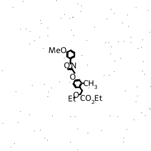 CCOC(=O)C(Cc1ccc(OCc2coc(-c3cccc(OC)c3)n2)cc1C)OCC